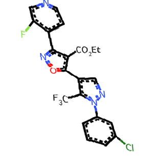 CCOC(=O)c1c(-c2ccncc2F)noc1-c1cnn(-c2cccc(Cl)c2)c1C(F)(F)F